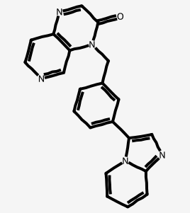 O=c1cnc2ccncc2n1Cc1cccc(-c2cnc3ccccn23)c1